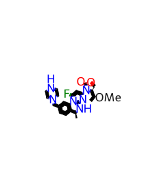 CO[C@H](C)[C@H]1COC(=O)N1c1cc(F)nc(N[C@@H](C)c2ccc(CN3CCNCC3)cc2)n1